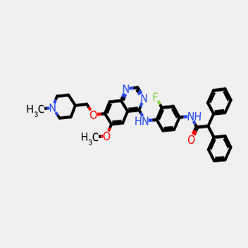 COc1cc2c(Nc3ccc(NC(=O)C(c4ccccc4)c4ccccc4)cc3F)ncnc2cc1OCC1CCN(C)CC1